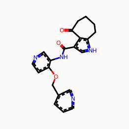 O=C(Nc1cnccc1OCc1cccnc1)c1c[nH]c2c1C(=O)CCCC2